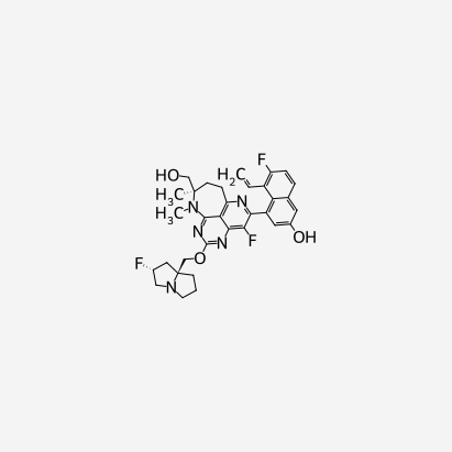 C=Cc1c(F)ccc2cc(O)cc(-c3nc4c5c(nc(OC[C@@]67CCCN6C[C@H](F)C7)nc5c3F)N(C)[C@@](C)(CO)CC4)c12